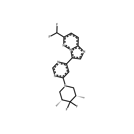 C[C@@H]1CN(c2cc(-c3cnc4ccc(C(F)F)nn34)ncn2)C[C@H](C)C1(F)F